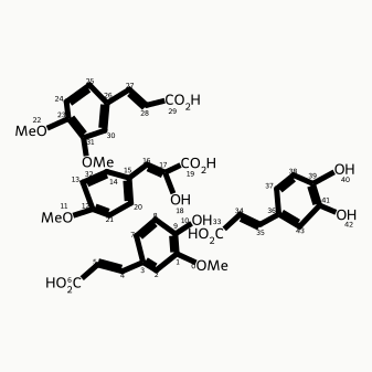 COc1cc(C=CC(=O)O)ccc1O.COc1ccc(C=C(O)C(=O)O)cc1.COc1ccc(C=CC(=O)O)cc1OC.O=C(O)C=Cc1ccc(O)c(O)c1